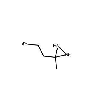 CC(C)CCC1(C)NN1